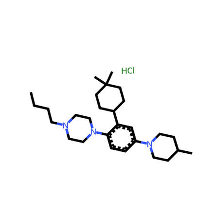 CCCCN1CCN(c2ccc(N3CCC(C)CC3)cc2C2CCC(C)(C)CC2)CC1.Cl